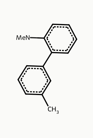 CNc1ccccc1-c1cccc(C)c1